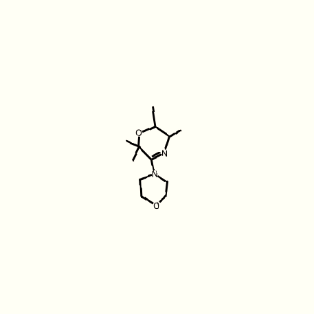 CC1N=C(N2CCOCC2)C(C)(C)OC1C